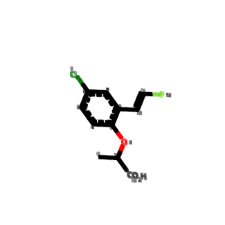 CC(Oc1ccc(Cl)cc1/C=C/F)C(=O)O